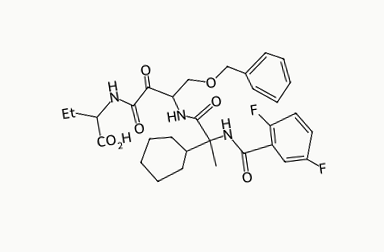 CCC(NC(=O)C(=O)C(COCc1ccccc1)NC(=O)C(C)(NC(=O)c1cc(F)ccc1F)C1CCCCC1)C(=O)O